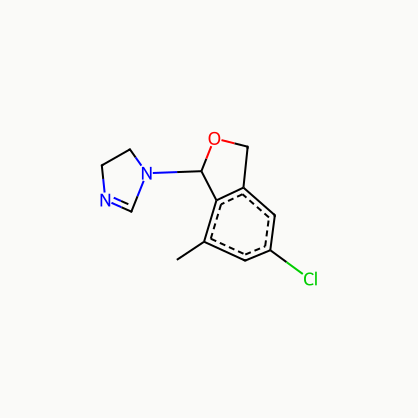 Cc1cc(Cl)cc2c1C(N1C=NCC1)OC2